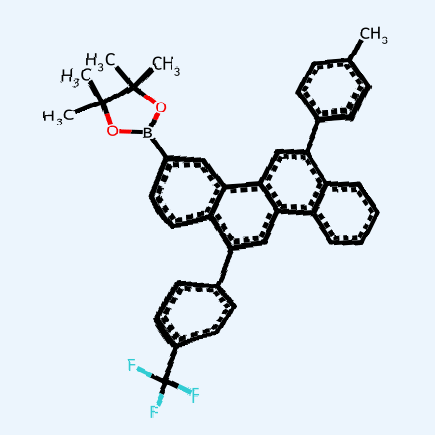 Cc1ccc(-c2cc3c4cc(B5OC(C)(C)C(C)(C)O5)ccc4c(-c4ccc(C(F)(F)F)cc4)cc3c3ccccc23)cc1